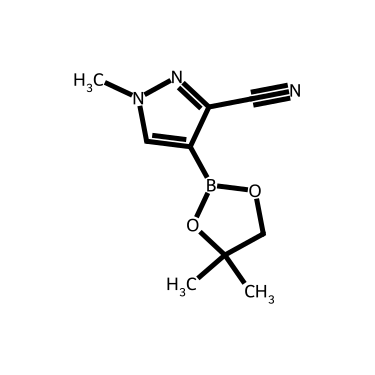 Cn1cc(B2OCC(C)(C)O2)c(C#N)n1